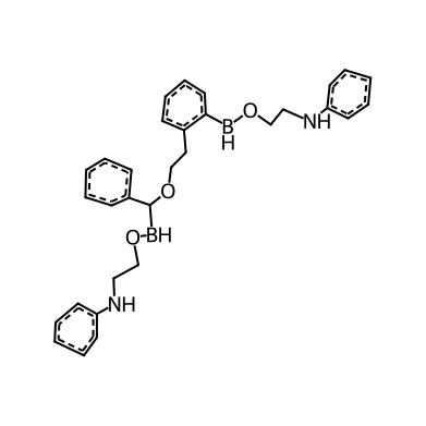 B(OCCNc1ccccc1)c1ccccc1CCOC(BOCCNc1ccccc1)c1ccccc1